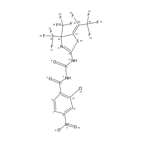 O=C(NC(=O)c1ccc([N+](=O)[O-])cc1Cl)NC1=NC(C(F)(F)F)(C(F)(F)F)/C(=C(\F)C(F)(F)F)S1